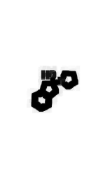 OC1(N2CCCC2)Cc2ccccc2C1